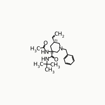 C=C[C@H]1CN(Cc2ccccc2)C[C@](NC(C)=O)(C(=O)NC(C)(C)C)C1